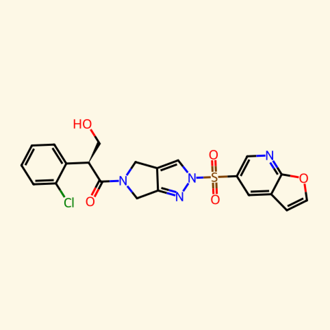 O=C([C@H](CO)c1ccccc1Cl)N1Cc2cn(S(=O)(=O)c3cnc4occc4c3)nc2C1